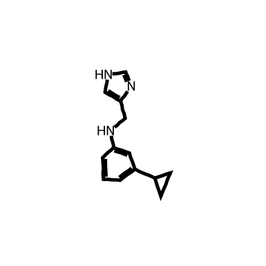 c1cc(NCc2c[nH]cn2)cc(C2CC2)c1